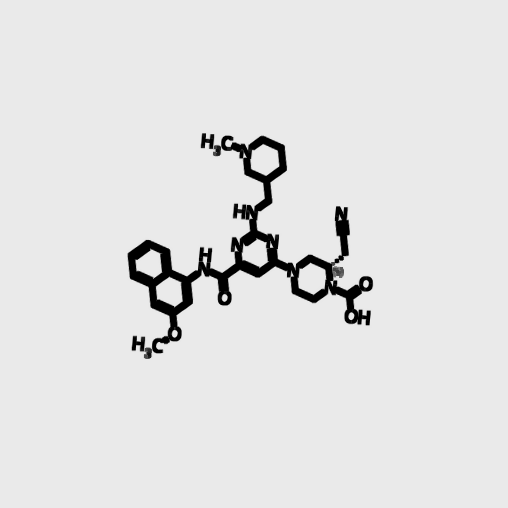 COc1cc(NC(=O)c2cc(N3CCN(C(=O)O)[C@@H](CC#N)C3)nc(NCC3CCCN(C)C3)n2)c2ccccc2c1